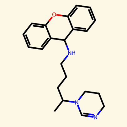 CC(CCCNC1c2ccccc2Oc2ccccc21)N1C=NCCC1